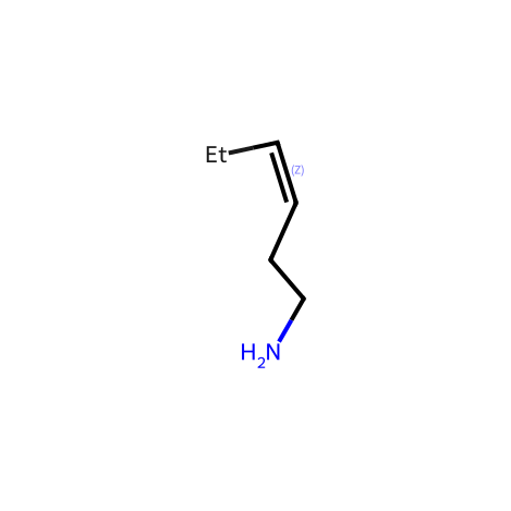 CC/C=C\CCN